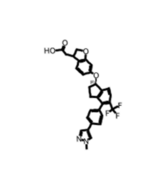 Cn1cc(-c2ccc(-c3c(C(F)(F)F)ccc4c3CC[C@H]4Oc3ccc4c(c3)OCC4CC(=O)O)cc2)cn1